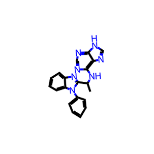 CC(Nc1ncnc2[nH]cnc12)c1nc2ccccc2n1-c1ccccc1